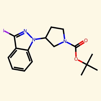 CC(C)(C)OC(=O)N1CCC(n2nc(I)c3ccccc32)C1